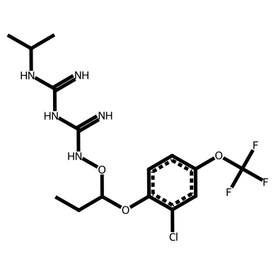 CCC(ONC(=N)NC(=N)NC(C)C)Oc1ccc(OC(F)(F)F)cc1Cl